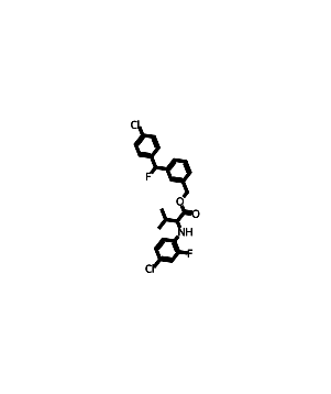 CC(C)C(Nc1ccc(Cl)cc1F)C(=O)OCc1cccc(C(F)c2ccc(Cl)cc2)c1